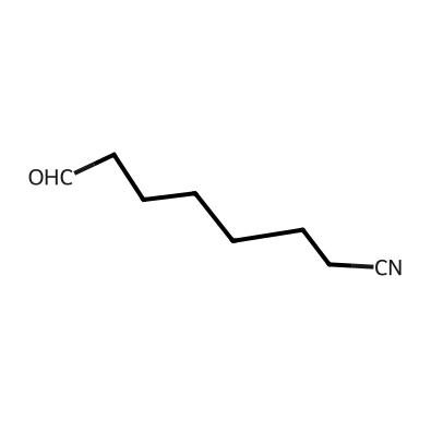 N#CCCCCCCC=O